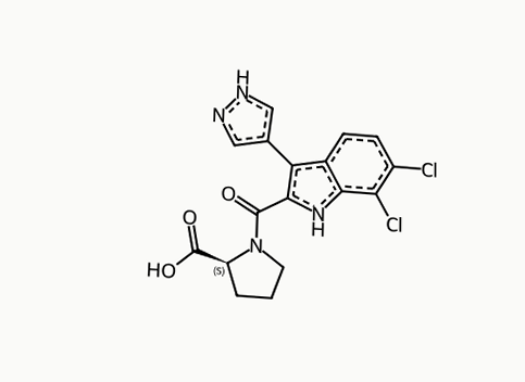 O=C(O)[C@@H]1CCCN1C(=O)c1[nH]c2c(Cl)c(Cl)ccc2c1-c1cn[nH]c1